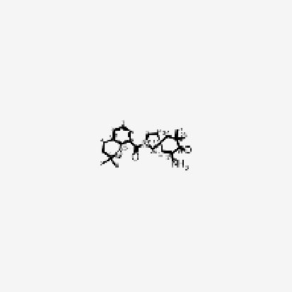 CC1(C)CCc2cccc(C(=O)N3CC[C@@]4(C=C(N)C(=O)C(C)(C)C4)C3)c2O1